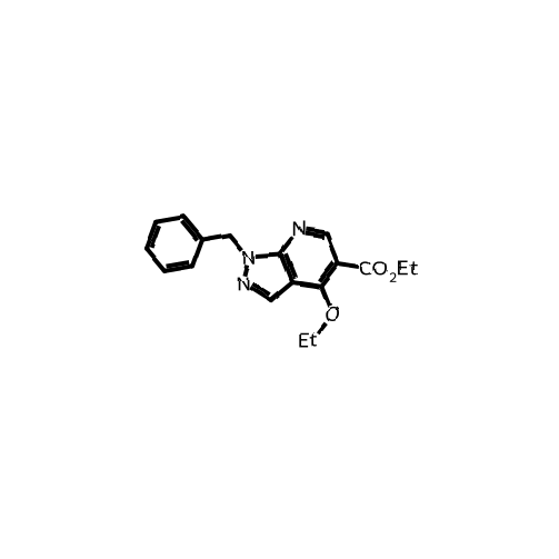 CCOC(=O)c1cnc2c(cnn2Cc2ccccc2)c1OCC